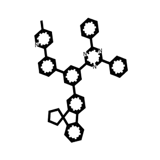 Cc1ccc(-c2cccc(-c3cc(-c4ccc5c(c4)C4(CCCC4)c4ccccc4-5)cc(-c4nc(-c5ccccc5)nc(-c5ccccc5)n4)c3)c2)nc1